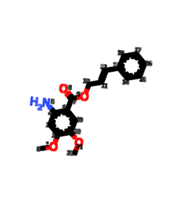 COc1cc(N)c(C(=O)OCC=Cc2ccccc2)cc1OC